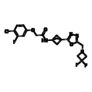 O=C(COc1ccc(Cl)c(F)c1)NC12CC(c3nnc(CN4CC(F)(F)C4)o3)(C1)C2